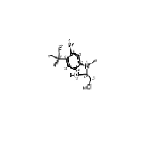 CN1c2cc(Br)c(C(C)(F)F)cc2NC1CCl